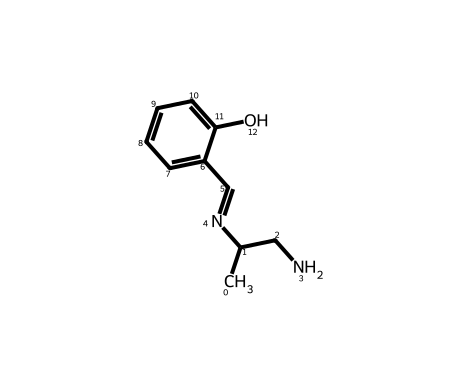 CC(CN)N=Cc1ccccc1O